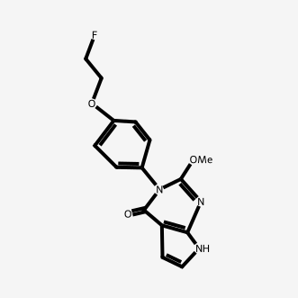 COc1nc2[nH]ccc2c(=O)n1-c1ccc(OCCF)cc1